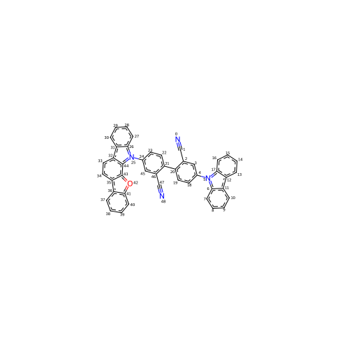 N#Cc1cc(-n2c3ccccc3c3ccccc32)ccc1-c1ccc(-n2c3ccccc3c3ccc4c5ccccc5oc4c32)cc1C#N